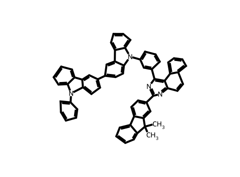 CC1(C)c2ccccc2-c2ccc(-c3nc(-c4cccc(-n5c6ccccc6c6cc(-c7ccc8c(c7)c7ccccc7n8-c7ccccc7)ccc65)c4)c4c(ccc5ccccc54)n3)cc21